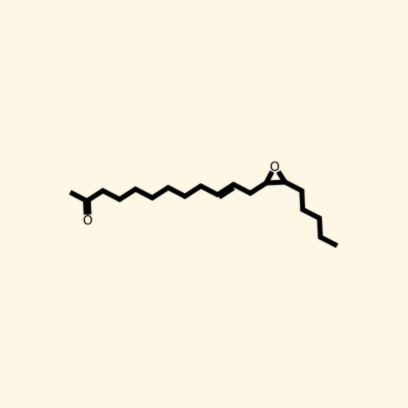 CCCCCC1OC1CC=CCCCCCCCC(C)=O